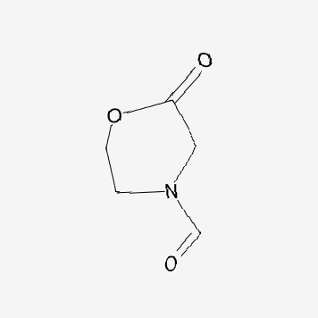 O=CN1CCOC(=O)C1